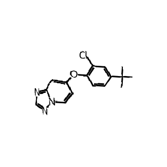 CC(C)(C)c1ccc(Oc2ccn3ncnc3c2)c(Cl)c1